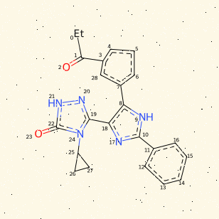 CCC(=O)c1cccc(-c2[nH]c(-c3ccccc3)nc2-c2n[nH]c(=O)n2C2CC2)c1